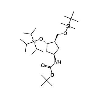 CC(C)[Si](O[C@H]1C[C@H](NC(=O)OC(C)(C)C)C[C@@H]1CO[Si](C)(C)C(C)(C)C)(C(C)C)C(C)C